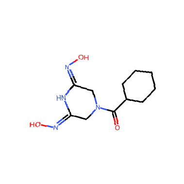 O=C(C1CCCCC1)N1CC(=NO)NC(=NO)C1